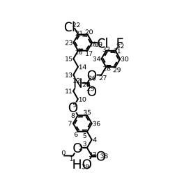 CCOC(Cc1ccc(OCCN(CCCc2cc(Cl)cc(Cl)c2)C(=O)OCc2ccc(F)cc2)cc1)C(=O)O